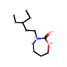 CCC(CC)CCN1CCCCOC1=O